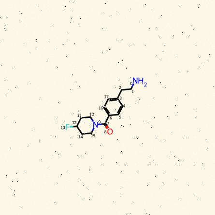 NCCc1ccc(C(=O)N2CCC(F)CC2)cc1